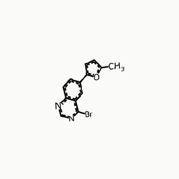 Cc1ccc(-c2ccc3ncnc(Br)c3c2)o1